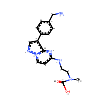 CN(CCNc1ccn2ncc(-c3ccc(CN)cc3)c2n1)C(=O)O